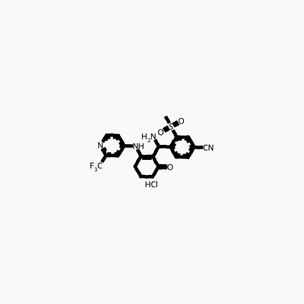 CS(=O)(=O)c1cc(C#N)ccc1C(N)C1=C(Nc2ccnc(C(F)(F)F)c2)CCCC1=O.Cl